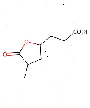 CC1CC(CCC(=O)O)OC1=O